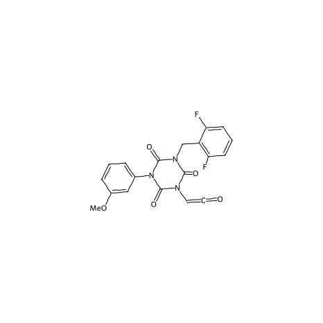 COc1cccc(-n2c(=O)n(C=C=O)c(=O)n(Cc3c(F)cccc3F)c2=O)c1